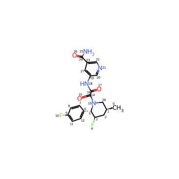 C[C@H]1C[C@@H](F)[C@H](c2ccc(F)cc2)N(C(=O)C(=O)Nc2cncc(C(N)=O)c2)C1